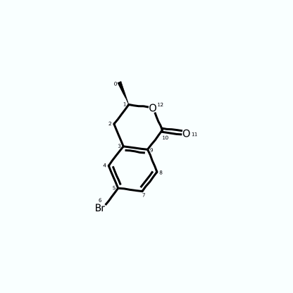 C[C@@H]1Cc2cc(Br)ccc2C(=O)O1